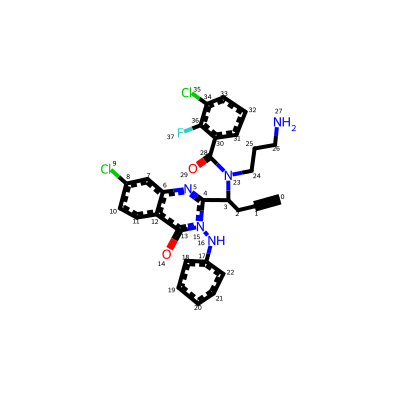 C#CCC(c1nc2cc(Cl)ccc2c(=O)n1Nc1ccccc1)N(CCCN)C(=O)c1cccc(Cl)c1F